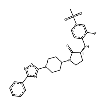 CS(=O)(=O)c1ccc(N[C@H]2CCN(C3CCN(c4nc(-c5ccccc5)ns4)CC3)C2=O)c(F)c1